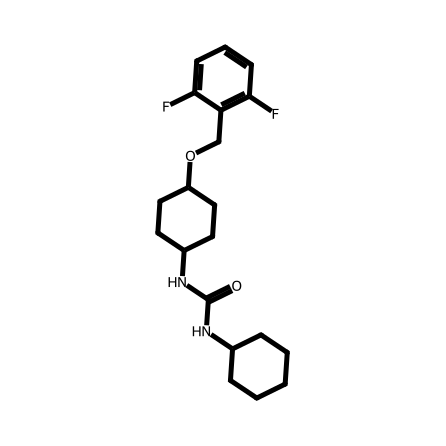 O=C(NC1CCCCC1)NC1CCC(OCc2c(F)cccc2F)CC1